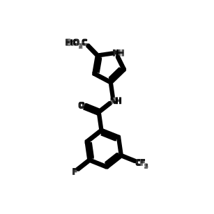 CCOC(=O)c1cc(NC(=O)c2cc(F)cc(C(F)(F)F)c2)c[nH]1